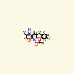 CC(=O)Oc1nc2c(cc1Cc1ccc(F)cc1)NC(C)CO2